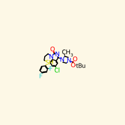 C[C@H]1CN(C(=O)OC(C)(C)C)CCN1c1nc(=O)n2c3c(cc(Cl)cc13)[SH](c1ccc(F)cc1F)CCC2